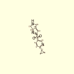 O=S(=O)(c1ccc(C2CC2)nc1)n1cc2c(n1)CNC2